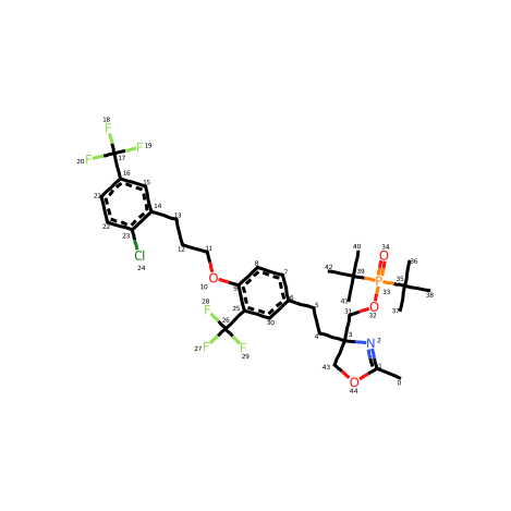 CC1=NC(CCc2ccc(OCCCc3cc(C(F)(F)F)ccc3Cl)c(C(F)(F)F)c2)(COP(=O)(C(C)(C)C)C(C)(C)C)CO1